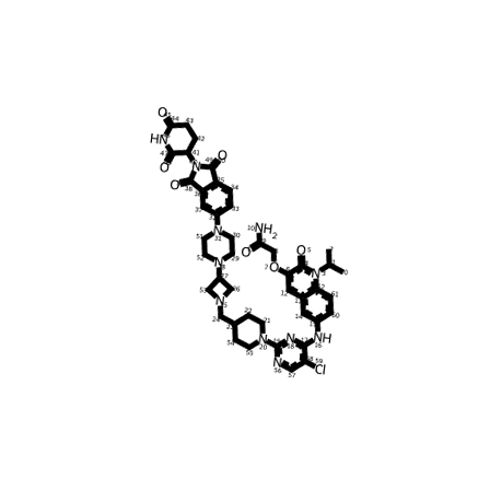 CC(C)n1c(=O)c(OCC(N)=O)cc2cc(Nc3nc(N4CCC(CN5CC(N6CCN(c7ccc8c(c7)C(=O)N(C7CCC(=O)NC7=O)C8=O)CC6)C5)CC4)ncc3Cl)ccc21